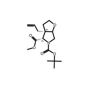 C=CC[C@]12CCOC1CN(C(=O)OC(C)(C)C)[C@@H]2C(=O)OC